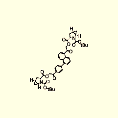 CC(C)(C)OC(=O)N1[C@@H]2C[C@@H]2C[C@H]1C(=O)OCC(=O)c1ccc(-c2cccc3c(C(=O)COC(=O)[C@@H]4C[C@H]5C[C@H]5N4C(=O)OC(C)(C)C)cccc23)cc1